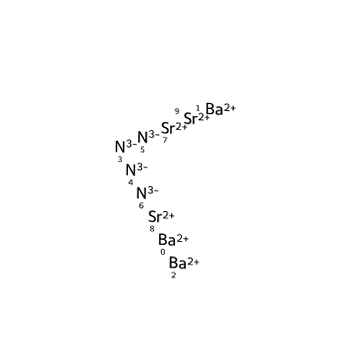 [Ba+2].[Ba+2].[Ba+2].[N-3].[N-3].[N-3].[N-3].[Sr+2].[Sr+2].[Sr+2]